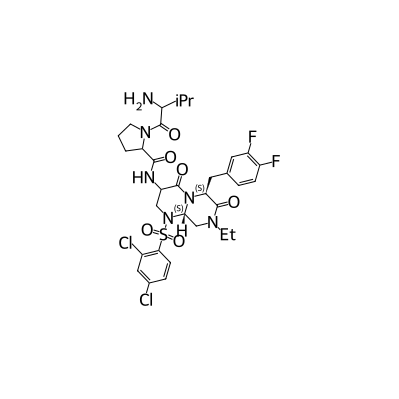 CCN1C[C@H]2N(C(=O)C(NC(=O)C3CCCN3C(=O)C(N)C(C)C)CN2S(=O)(=O)c2ccc(Cl)cc2Cl)[C@@H](Cc2ccc(F)c(F)c2)C1=O